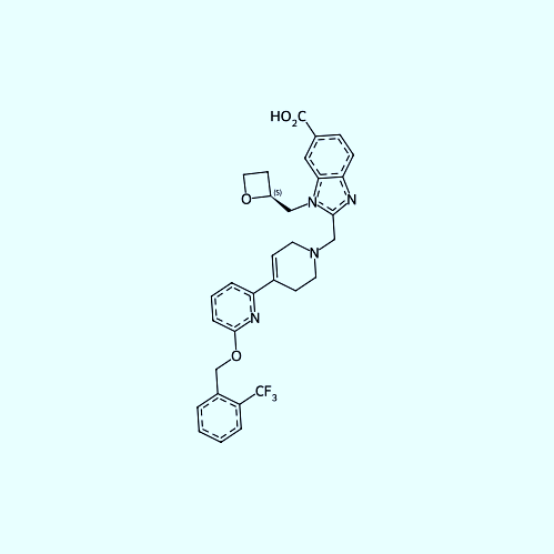 O=C(O)c1ccc2nc(CN3CC=C(c4cccc(OCc5ccccc5C(F)(F)F)n4)CC3)n(C[C@@H]3CCO3)c2c1